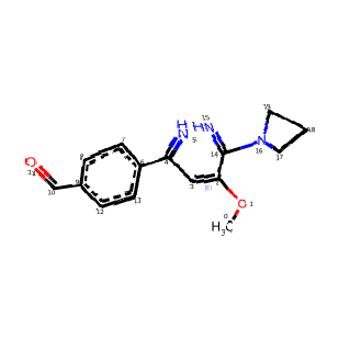 CO/C(=C/C(=N)c1ccc(C=O)cc1)C(=N)N1CCC1